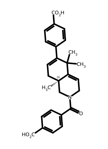 CC1(C)C(c2ccc(C(=O)O)cc2)=CC[C@]2(C)CN(C(=O)c3ccc(C(=O)O)cc3)CC=C12